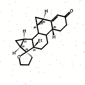 CC[C@]12CCC3C(C1[C@@H]1C[C@@H]1[C@@]21CCCO1)[C@H]1C[C@H]1C1=CC(=O)CC[C@@H]13